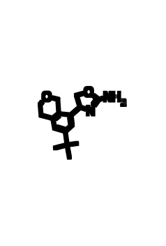 CC(C)(C)c1cc2c(c(C3COC(N)=N3)c1)COCC2